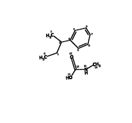 CCC(C)c1ccccc1.CNC(=O)O